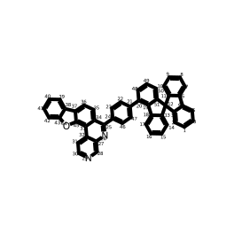 c1ccc2c(c1)-c1ccccc1C21c2ccccc2-c2c(-c3ccc(-c4nc5cnccc5c5c4ccc4c6ccccc6oc45)cc3)cccc21